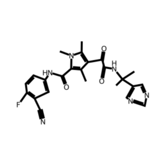 Cc1c(C(=O)C(=O)NC(C)(C)c2cncnc2)c(C)n(C)c1C(=O)Nc1ccc(F)c(C#N)c1